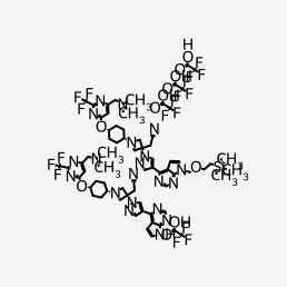 CN(C)Cc1cc(O[C@H]2CC[C@@H](N3CC(CC#N)(n4cc(-c5ncnc6[nH]ccc56)cn4)C3)CC2)nc(C(F)(F)F)n1.CN(C)Cc1cc(O[C@H]2CC[C@@H](N3CC(CC#N)(n4cc(-c5ncnc6c5ccn6COCC[Si](C)(C)C)cn4)C3)CC2)nc(C(F)(F)F)n1.O=C(O)C(F)(F)F.O=C(O)C(F)(F)F.O=C(O)C(F)(F)F.O=C(O)C(F)(F)F